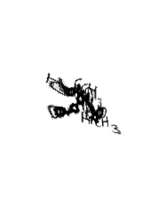 CCN(c1cc(-c2ccc(CN3CCOCC3)cc2)cc(C(=O)NCc2c3c(c(C)[nH]c2=O)COCC3)c1C)C1CCOCC1